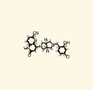 Cn1c(=O)cc(N2C[C@H]3CN(Cc4ccc(Cl)cc4O)C[C@@H]3C2)c2nc(C#N)ccc21